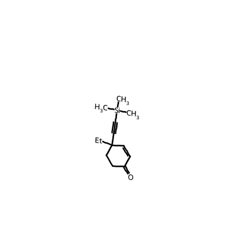 CCC1(C#C[Si](C)(C)C)C=CC(=O)CC1